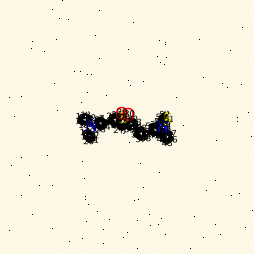 CC1(C)c2cc(-c3ccc(N(c4ccccc4)c4ccccc4)cc3)ccc2S(=O)(=O)c2ccc(-c3cccc(-c4cc5c6ccccc6n6c7sccc7c(c4)c56)c3)cc21